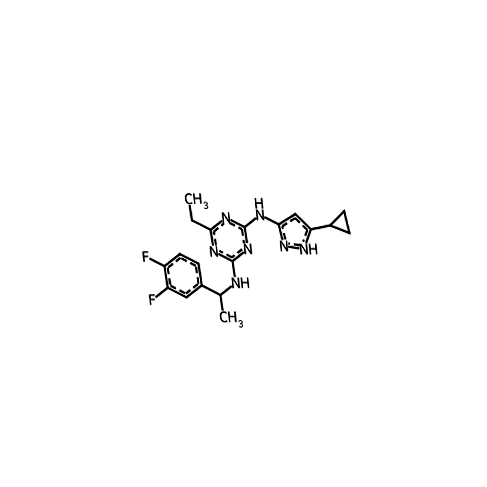 CCc1nc(Nc2cc(C3CC3)[nH]n2)nc(NC(C)c2ccc(F)c(F)c2)n1